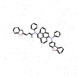 C/C(=C\C=C1/Cc2ccccc2O1)N(c1ccccc1)c1cc2cccc3c(N(c4ccccc4)c4ccc5oc6ccccc6c5c4)cc4cccc1c4c23